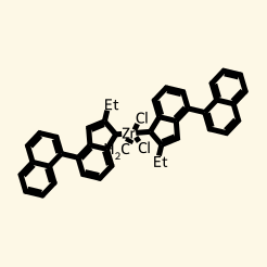 [CH2]=[Zr]([Cl])([Cl])([CH]1C(CC)=Cc2c(-c3cccc4ccccc34)cccc21)[CH]1C(CC)=Cc2c(-c3cccc4ccccc34)cccc21